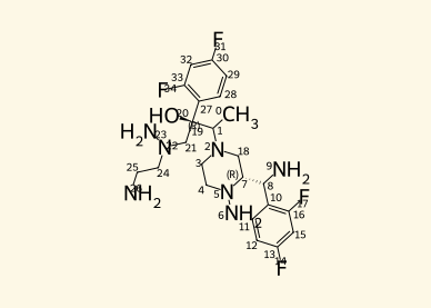 CC(N1CCN(N)[C@@H](C(N)c2ccc(F)cc2F)C1)[C@](O)(CN(N)CCN)c1ccc(F)cc1F